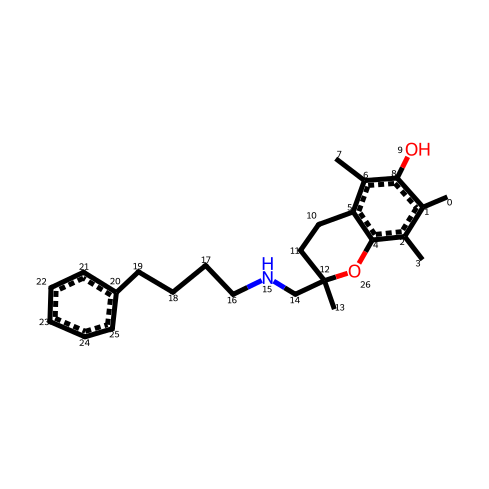 Cc1c(C)c2c(c(C)c1O)CCC(C)(CNCCCCc1ccccc1)O2